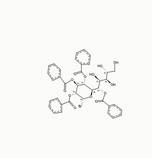 O=C(O[C@H]1[C@H](OC(=O)c2ccccc2)[C@@H](OC(=O)c2ccccc2)[C@@H](Br)O[C@@H]1[C@@H](OC(=O)c1ccccc1)[C@@H](O)[C@H](O)[C@H](O)CO)c1ccccc1